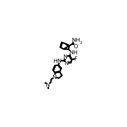 CN(C)CCN1CCc2cc(Nc3ncc(F)c(NC4C5C=CC(C5)C4C(N)=O)n3)ccc21